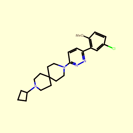 COc1ccc(Cl)cc1-c1ccc(N2CCC3(CC2)CCN(C2CCC2)CC3)nn1